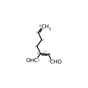 C=CCC/C(C=O)=C/C=O